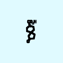 O=C1CCC2(CCN(C(=O)O)CC2)C1